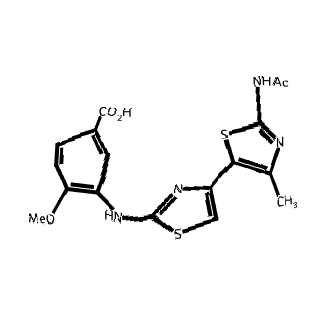 COc1ccc(C(=O)O)cc1Nc1nc(-c2sc(NC(C)=O)nc2C)cs1